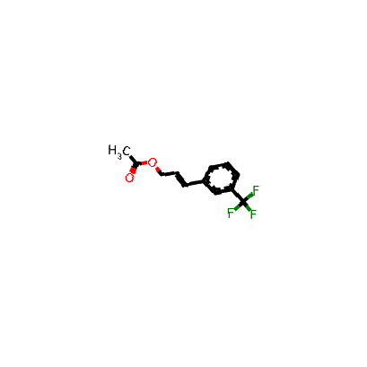 CC(=O)OCC=Cc1cccc(C(F)(F)F)c1